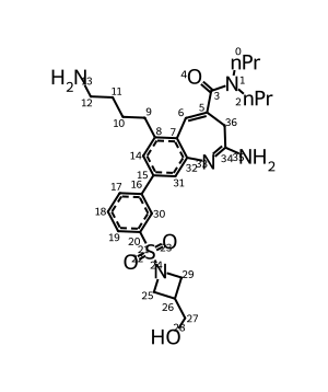 CCCN(CCC)C(=O)C1=Cc2c(CCCCN)cc(-c3cccc(S(=O)(=O)N4CC(CO)C4)c3)cc2N=C(N)C1